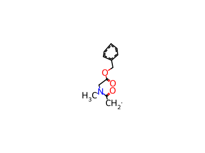 [CH2]C(=O)N(C)CC(=O)OCc1ccccc1